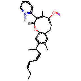 C=C1Oc2cc(C(C)/C=C\C=C/CC)c(C)cc2C/C=C(OI)\C(C)=C/1c1cccc[n+]1C